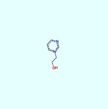 OCC[n+]1cccnc1